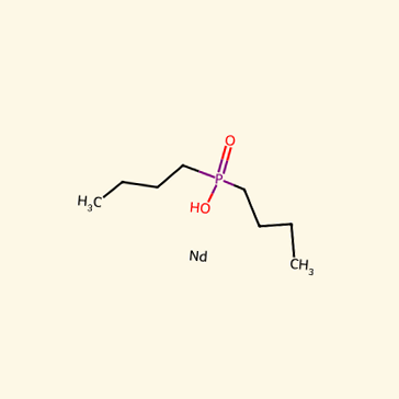 CCCCP(=O)(O)CCCC.[Nd]